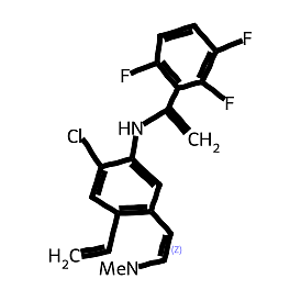 C=Cc1cc(Cl)c(NC(=C)c2c(F)ccc(F)c2F)cc1/C=C\NC